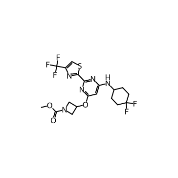 COC(=O)N1CC(Oc2cc(NC3CCC(F)(F)CC3)nc(-c3nc(C(F)(F)F)cs3)n2)C1